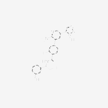 Cc1cccc(C(CO)NC(=O)c2ccc(-c3cc(-c4cnnn4C)cnc3N)cc2F)c1